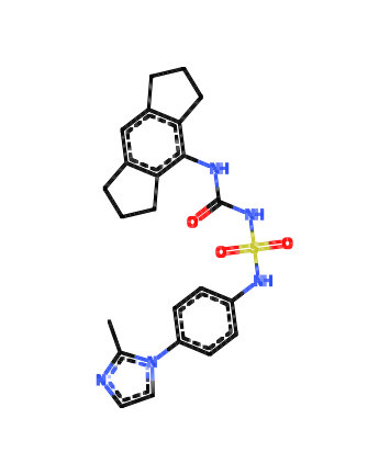 Cc1nccn1-c1ccc(NS(=O)(=O)NC(=O)Nc2c3c(cc4c2CCC4)CCC3)cc1